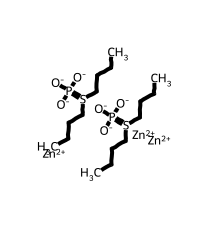 CCCCS(CCCC)=P([O-])([O-])[O-].CCCCS(CCCC)=P([O-])([O-])[O-].[Zn+2].[Zn+2].[Zn+2]